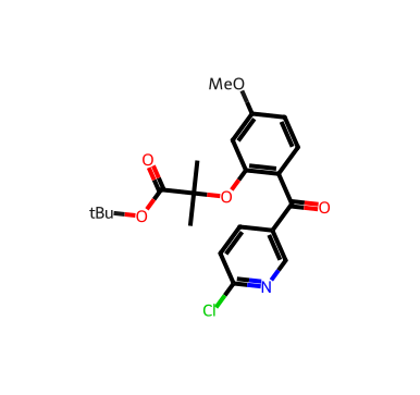 COc1ccc(C(=O)c2ccc(Cl)nc2)c(OC(C)(C)C(=O)OC(C)(C)C)c1